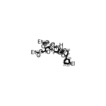 CCC(=O)OCC1OC(n2ccc(NP3(=O)OCCC(c4cccc(Cl)c4)O3)nc2=O)C(F)(F)C1OC(=O)CC